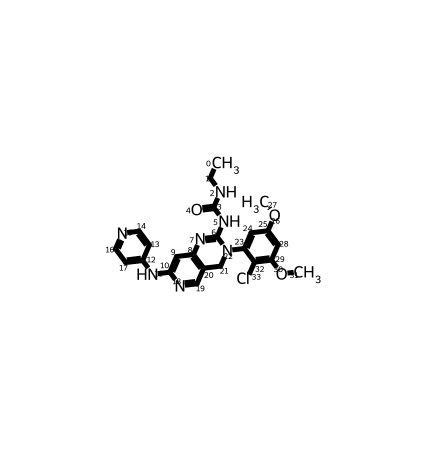 CCNC(=O)NC1=Nc2cc(Nc3ccncc3)ncc2CN1c1cc(OC)cc(OC)c1Cl